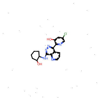 Oc1cc(Cl)cnc1-c1nnc(NC2CCCCC2O)c2ncccc12